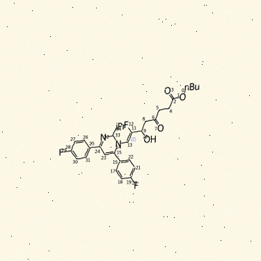 CCCCOC(=O)CCC(=O)CC(O)/C(F)=C/N1C(c2ccc(F)cc2)=CC(c2ccc(F)cc2)=NC1C(C)C